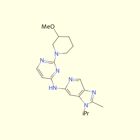 COC1CCCN(c2nccc(Nc3cc4c(cn3)nc(C)n4C(C)C)n2)C1